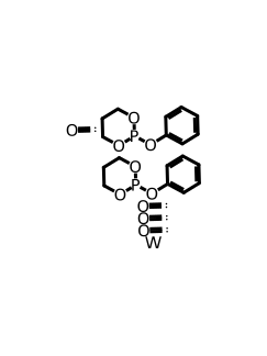 [C]=O.[C]=O.[C]=O.[C]=O.[W].c1ccc(OP2OCCCO2)cc1.c1ccc(OP2OCCCO2)cc1